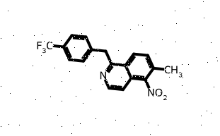 Cc1ccc2c(Cc3ccc(C(F)(F)F)cc3)nccc2c1[N+](=O)[O-]